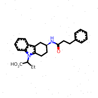 CCC(C(=O)O)n1c2c(c3ccccc31)C[C@@H](NC(=O)CCc1ccccc1)CC2